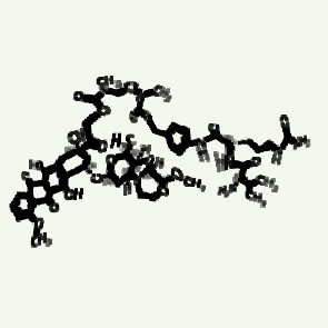 COc1cccc2c1C(=O)c1c(O)c3c(c(O)c1C2=O)C[C@@](O)(C(=O)COC(=O)N(C)CON(C)C(=O)OCc1ccc(NC(=O)[C@H](CCCNC(N)=O)NC(=O)[C@@H](N)C(C)C)cc1)C[C@@H]3O[C@H]1C[C@H]2[C@H](O[C@@H]3[C@@H](OC)OCCN32)[C@H](C)O1